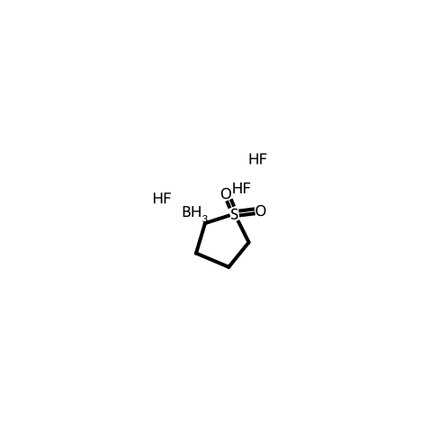 B.F.F.F.O=S1(=O)CCCC1